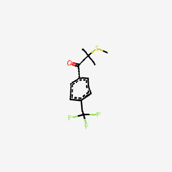 CSC(C)(C)C(=O)c1ccc(C(F)(F)F)cc1